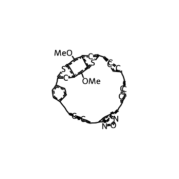 COc1c2cc3sc2c(OC)c2cc(sc12)-c1ccc(cc1)-c1ccc(cc1)-c1ccc(c2nonc12)-c1ccc(cc1)-c1ccc-3cc1